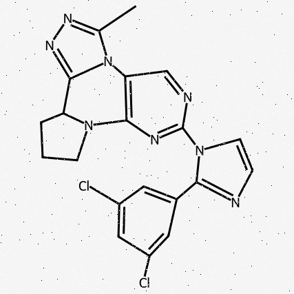 Cc1nnc2n1-c1cnc(-n3ccnc3-c3cc(Cl)cc(Cl)c3)nc1N1CCCC21